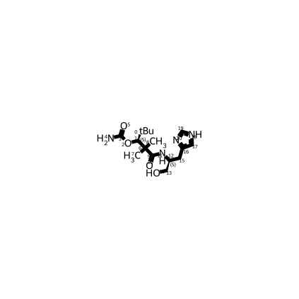 CC(C)(C)[C@H](OC(N)=O)C(C)(C)C(=O)N[C@H](CO)Cc1c[nH]cn1